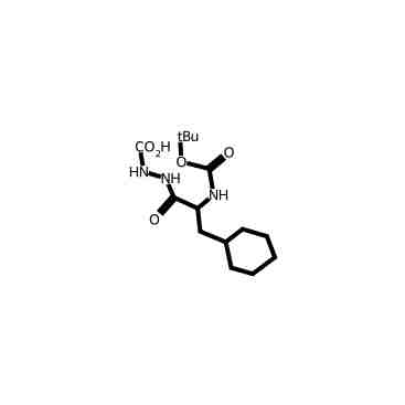 CC(C)(C)OC(=O)NC(CC1CCCCC1)C(=O)NNC(=O)O